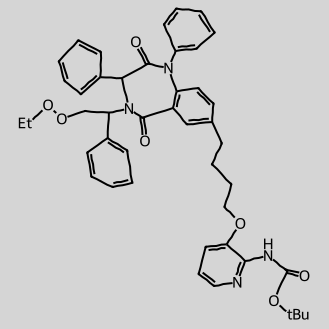 CCOOCC(c1ccccc1)N1C(=O)c2cc(CCCCOc3cccnc3NC(=O)OC(C)(C)C)ccc2N(c2ccccc2)C(=O)C1c1ccccc1